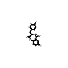 O=C1NC(Cc2ccc(I)cc2)C(=O)Nc2ccc(Cl)cc21